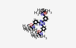 CC1(C)N=C(c2cccc(-c3nc(-c4cccc(C5=NC(C)(C)C(C)(C)O5)c4)nc(-c4cccc(C5=NC(C)(C)C(C)(C)O5)c4)n3)c2)OC1(C)C